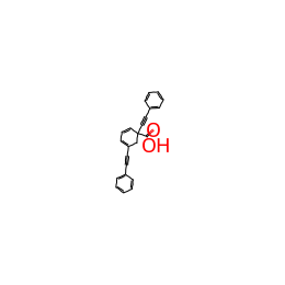 O=C(O)C1(C#Cc2ccccc2)C=CC=C(C#Cc2ccccc2)C1